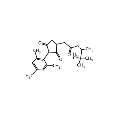 Cc1cc(C)c(C2C(=O)CC(CC(=O)NC(C)C(C)(C)C)C2=O)c(C)c1